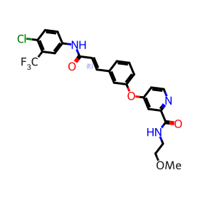 COCCNC(=O)c1cc(Oc2cccc(/C=C/C(=O)Nc3ccc(Cl)c(C(F)(F)F)c3)c2)ccn1